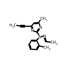 CC#Cc1cc(C)nc(N(N=CC)c2ccccc2C)n1